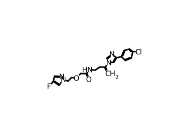 C=C(CCNC(=O)COCCn1cc(F)cn1)n1cnc(-c2ccc(Cl)cc2)c1